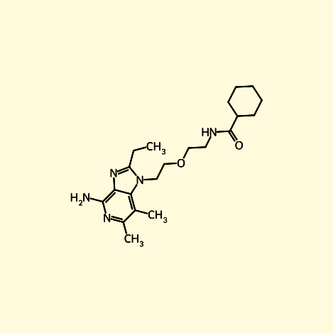 CCc1nc2c(N)nc(C)c(C)c2n1CCOCCNC(=O)C1CCCCC1